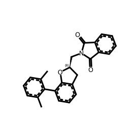 Cc1cccc(C)c1-c1cccc2c1O[C@@H](CN1C(=O)c3ccccc3C1=O)C2